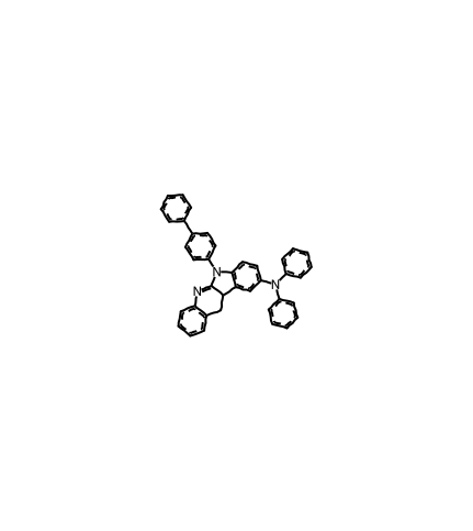 c1ccc(-c2ccc(N3C4=Nc5ccccc5CC4c4cc(N(c5ccccc5)c5ccccc5)ccc43)cc2)cc1